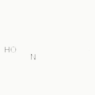 On1ccc2[c]cccc21